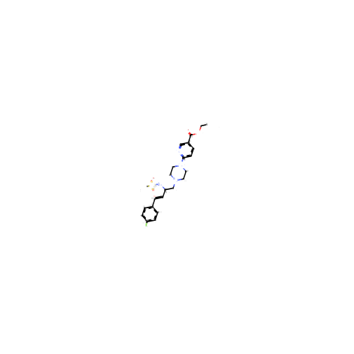 CCOC(=O)c1ccc(N2CCN(CC(/C=C/c3ccc(F)cc3)NS(C)(=O)=O)CC2)nc1